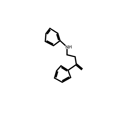 C=C(CCNc1ccccc1)c1ccccc1